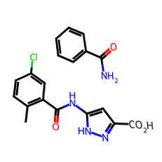 Cc1ccc(Cl)cc1C(=O)Nc1cc(C(=O)O)n[nH]1.NC(=O)c1ccccc1